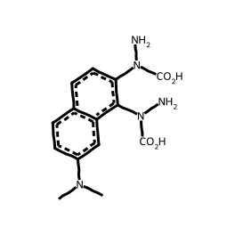 CN(C)c1ccc2ccc(N(N)C(=O)O)c(N(N)C(=O)O)c2c1